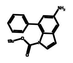 CC(C)(C)OC(=O)n1ccc2cc(N)cc(-c3ccccc3)c21